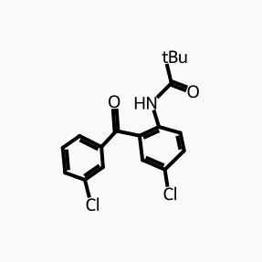 CC(C)(C)C(=O)Nc1ccc(Cl)cc1C(=O)c1cccc(Cl)c1